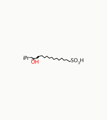 CC(C)C[C@H](O)C#CCCCCCCCCCCCCS(=O)(=O)O